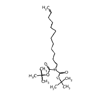 C=CCCCCCCCCCCN(C(=O)OC(C)(C)C)C(=O)OC(C)(C)C